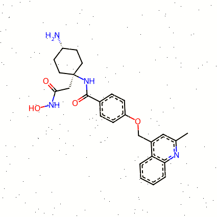 Cc1cc(COc2ccc(C(=O)N[C@]3(CC(=O)NO)CC[C@@H](N)CC3)cc2)c2ccccc2n1